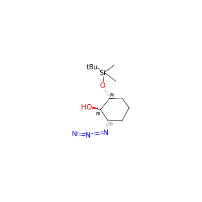 CC(C)(C)[Si](C)(C)O[C@@H]1CCC[C@H](N=[N+]=[N-])[C@H]1O